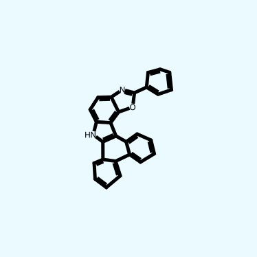 c1ccc(-c2nc3ccc4[nH]c5c6ccccc6c6ccccc6c5c4c3o2)cc1